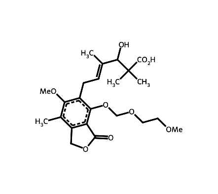 COCCOCOc1c(C/C=C(\C)C(O)C(C)(C)C(=O)O)c(OC)c(C)c2c1C(=O)OC2